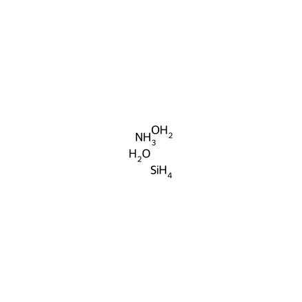 N.O.O.[SiH4]